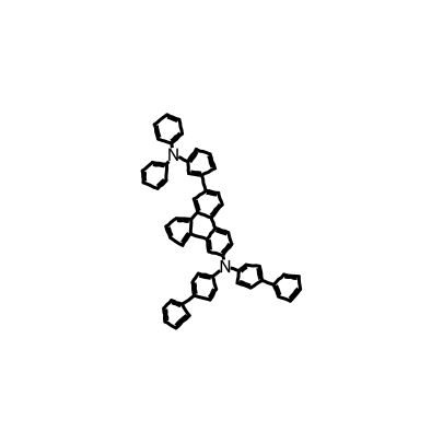 c1ccc(-c2ccc(N(c3ccc(-c4ccccc4)cc3)c3ccc4c5ccc(-c6cccc(N(c7ccccc7)c7ccccc7)c6)cc5c5ccccc5c4c3)cc2)cc1